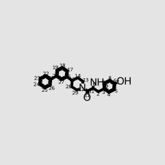 NC(Cc1ccc(O)cc1)C(=O)N1CCC(c2cccc(-c3ccccc3)c2)CC1